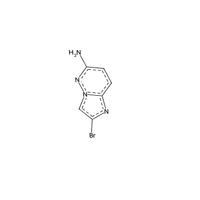 Nc1ccc2nc(Br)cn2n1